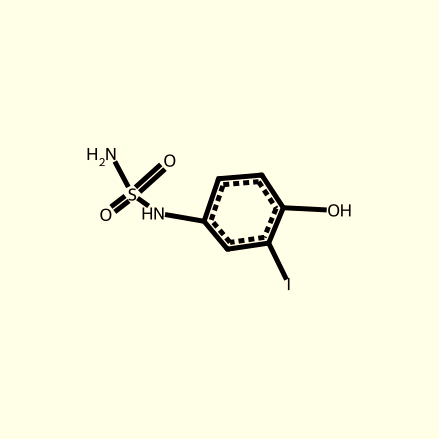 NS(=O)(=O)Nc1ccc(O)c(I)c1